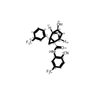 N#Cc1ccc(C(F)(F)F)cc1NC(=O)[C@]12C[C@@]1(c1cccc(C(F)(F)F)c1)[C@H]1O[C@@H]2C[C@@H]1O